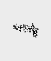 CN(C[C@@H](NC(=O)N[C@H](C(=O)N1CCC[C@H]1C(=O)N[C@@H](CC(F)F)C(=O)N[C@@H]1c2ccccc2C[C@@H]1O)C(C)(C)C)C(C)(C)C)S(C)(=O)=O